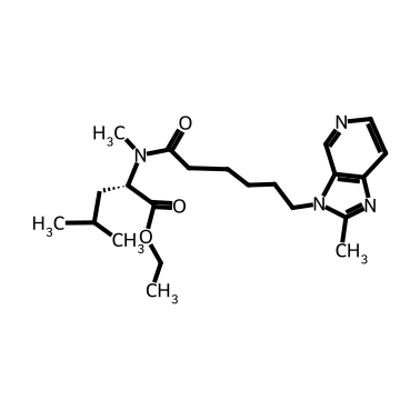 CCOC(=O)[C@H](CC(C)C)N(C)C(=O)CCCCCn1c(C)nc2ccncc21